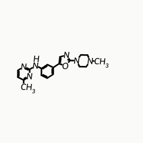 Cc1ccnc(Nc2cccc(-c3cnc(N4CCN(C)CC4)o3)c2)n1